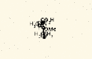 COc1cc2c(cc1C#CC(C)(C)S(=O)(=O)C1CC1)[C@H]1CCC(C)(C)N1n1cc(C(=O)O)c(=O)cc1-2